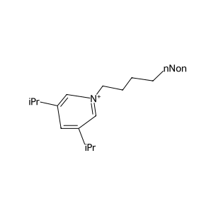 CCCCCCCCCCCCC[n+]1cc(C(C)C)cc(C(C)C)c1